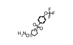 NO[C@H]1CCN(S(=O)(=O)c2ccc(OC(F)(F)F)cc2)C1